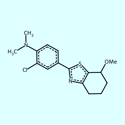 COC1CCCc2nc(-c3ccc(N(C)C)c(Cl)c3)sc21